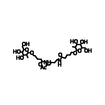 CC(=O)C(CCCCNC(=O)CCCCOC1OC(CO)C(O)C(O)C1C)NC(=O)CCCCOC1OC(CO)C(O)C(O)C1C